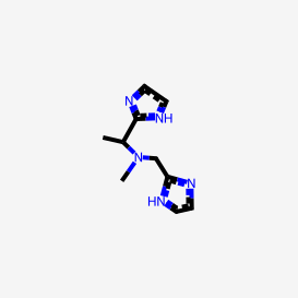 CC(c1ncc[nH]1)N(C)Cc1ncc[nH]1